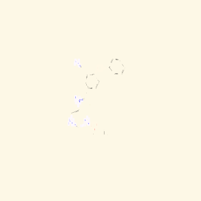 CON1C=NC=C2N=C(c3ccc(Oc4ccc(F)cc4)c(C#N)c3)SC21